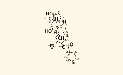 C[C@H]1C[C@@]2(C)[C@@H](CC[C@@H]3[C@@H]2[C@@H](O)C[C@]2(C)[C@@H](C#N)CC[C@@H]32)C[C@@H]1OC(=O)c1ccccc1